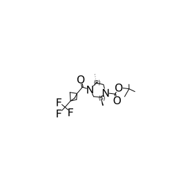 C[C@@H]1CN(C(=O)OC(C)(C)C)[C@@H](C)CN1C(=O)C12CC(C(F)(F)F)(C1)C2